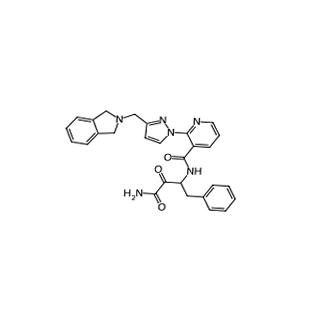 NC(=O)C(=O)C(Cc1ccccc1)NC(=O)c1cccnc1-n1ccc(CN2Cc3ccccc3C2)n1